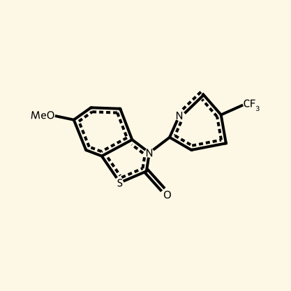 COc1ccc2c(c1)sc(=O)n2-c1ccc(C(F)(F)F)cn1